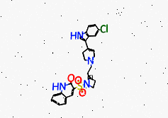 O=c1[nH]c2ccccc2cc1S(=O)(=O)N1CC[C@@H]1CCN1CC=C(c2c[nH]c3ccc(Cl)cc23)CC1